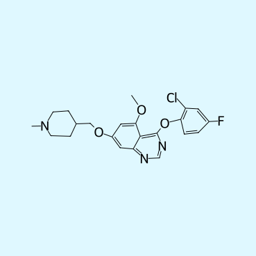 COc1cc(OCC2CCN(C)CC2)cc2ncnc(Oc3ccc(F)cc3Cl)c12